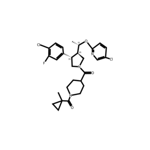 C[C@H](Oc1ccc(Cl)cn1)[C@H]1CN(C(=O)C2CCN(C(=O)C3(C)CC3)CC2)C[C@@H]1c1ccc(Cl)c(F)c1